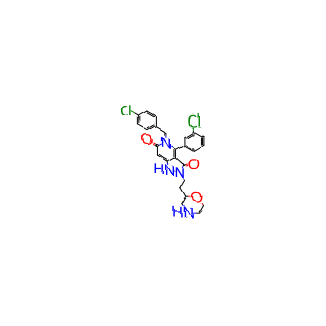 O=c1c2c(-c3cccc(Cl)c3)n(Cc3ccc(Cl)cc3)c(=O)cc2[nH]n1CCC1CNCCO1